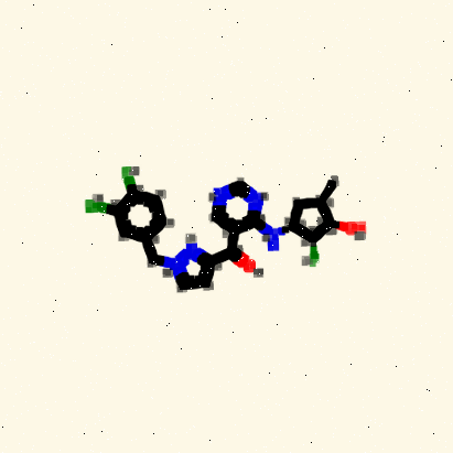 [CH2][C@@H]1C[C@@H](Nc2ncncc2C(=O)c2ccn(Cc3ccc(F)c(Br)c3)n2)[C@@H](F)[C@@H]1O